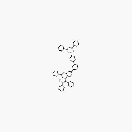 C1=C(c2ccccc2)C2N=C(c3ccccc3)C(c3ccccc3)=C2c2ccc(-c3cccc(-c4ccc(-c5nc(-c6ccccc6)cc(-c6ccccc6)n5)cc4)c3)cc21